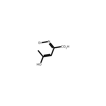 CC/N=C(\C=C(/C)O)C(=O)O